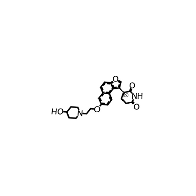 O=C1CC[C@@H](c2coc3ccc4cc(OCCN5CCC(O)CC5)ccc4c23)C(=O)N1